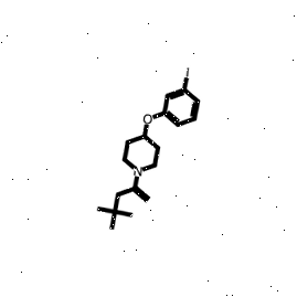 C=C(CC(C)(C)C)N1CCC(Oc2cccc(I)c2)CC1